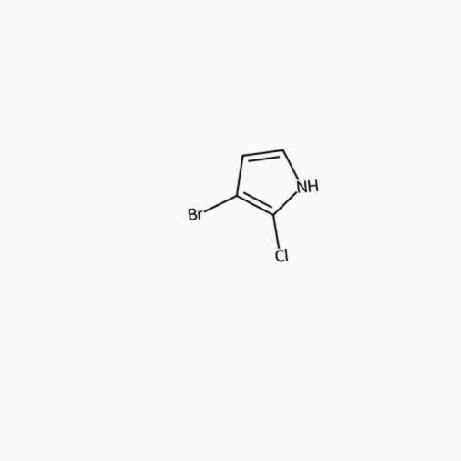 Clc1[nH]ccc1Br